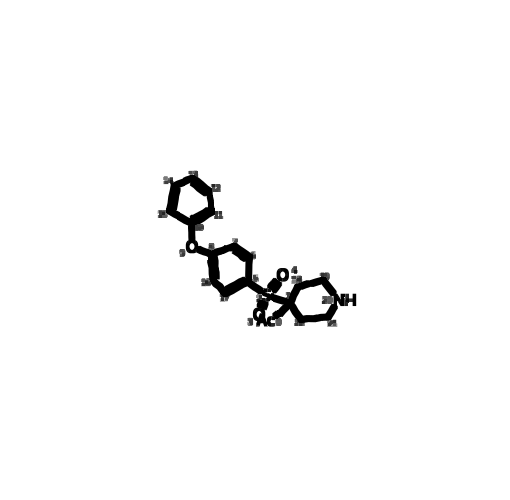 CC(=O)C1(S(=O)(=O)c2ccc(Oc3ccccc3)cc2)CCNCC1